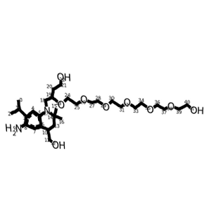 CC(C)c1cc2c(cc1N)C(CO)CC(C)(C)N2CC(CCO)OCCOCCOCCOCCOCCOCCO